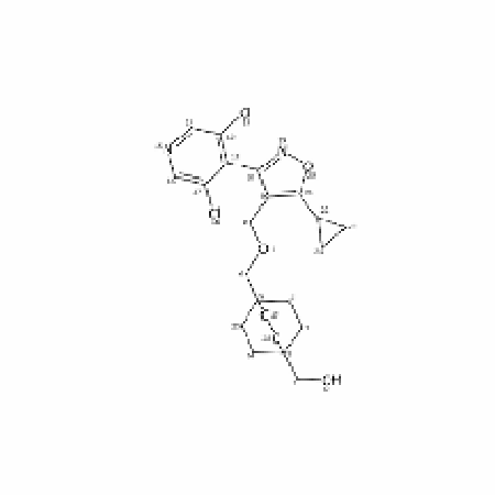 OCC12CCC(COCc3c(-c4c(Cl)cncc4Cl)noc3C3CC3)(CC1)CC2